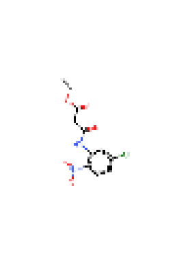 CCOC(=O)CC(=O)Nc1cc(Cl)ccc1[N+](=O)[O-]